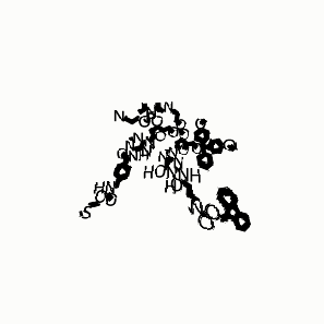 COc1ccc(C(OCC2OC(n3cnc4c3N=C(NC(=O)CCCN(C)C(=O)OCC3c5ccccc5-c5ccccc53)NC4O)CC2OC(OCCC#N)OCC2OC(n3cnc4c(NC(=O)c5ccc(CNC(=O)OCCSC)cc5)ncnc43)CC2OP(OCCC#N)N(C(C)C)C(C)C)(c2ccccc2)c2ccc(OC)cc2)cc1